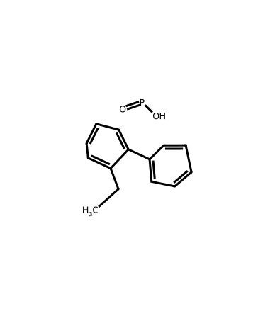 CCc1ccccc1-c1ccccc1.O=PO